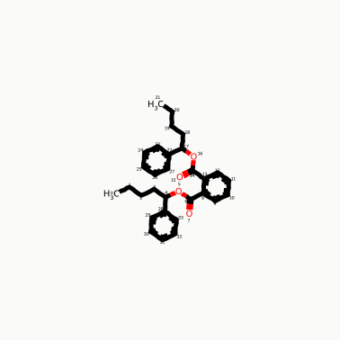 CCCCC(OC(=O)c1ccccc1C(=O)OC(CCCC)c1ccccc1)c1ccccc1